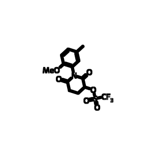 COc1ccc(C)cc1N1C(=O)CCC(OS(=O)(=O)C(F)(F)F)C1=O